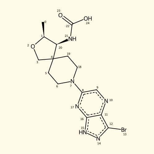 C[C@@H]1OCC2(CCN(c3cnc4c(Br)n[nH]c4n3)CC2)[C@@H]1NC(=O)O